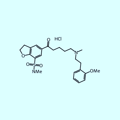 CNS(=O)(=O)c1cc(C(=O)CCCCN(C)CCc2ccccc2OC)cc2c1OCC2.Cl